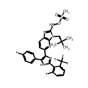 CC(C)(C)Cn1c(NOS(C)(=O)=O)nc2ccc(-c3nc(-c4c(F)cccc4C(F)(F)F)[nH]c3-c3ccc(F)cc3)nc21